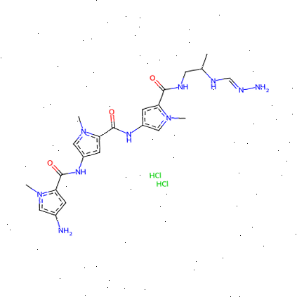 CC(CNC(=O)c1cc(NC(=O)c2cc(NC(=O)c3cc(N)cn3C)cn2C)cn1C)NC=NN.Cl.Cl